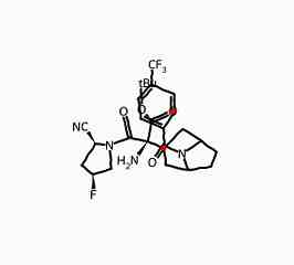 CC(C)(C)OC(=O)[C@@](N)(C(=O)N1C[C@@H](F)C[C@H]1C#N)C1CC2CCC(C1)N2C(=O)c1ccc(C(F)(F)F)cc1